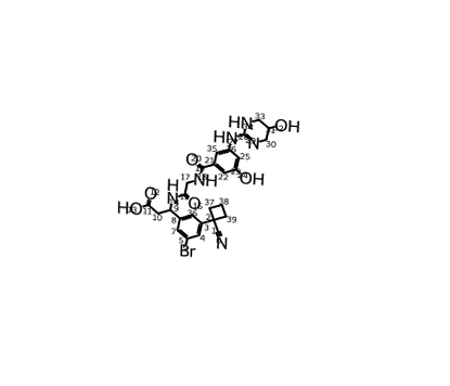 N#CC1(c2cc(Br)cc(C(CC(=O)O)NC(=O)CNC(=O)c3cc(O)cc(NC4=NCC(O)CN4)c3)c2)CCC1